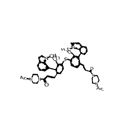 CC(=O)N1CCN(C(=O)/C=C/c2ccc(Sc3ccc(/C=C/C(=O)N4CCN(C(C)=O)CC4)c(-c4cccc5ccn(C)c45)c3Cl)c(Cl)c2-c2cccc3ccn(C)c23)CC1